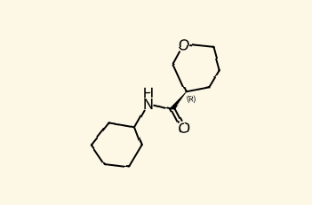 O=C(NC1CCCCC1)[C@@H]1CCCOC1